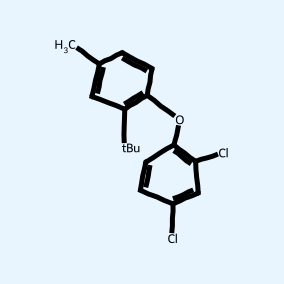 Cc1ccc(Oc2ccc(Cl)cc2Cl)c(C(C)(C)C)c1